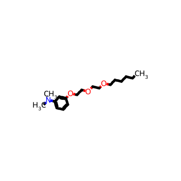 CCCCCCOCCOCCOc1cccc(N(C)C)c1